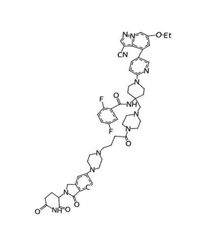 CCOc1cc(-c2ccc(N3CCC(CN4CCN(C(=O)CCCN5CCN(c6ccc7c(c6)CN(C6CCC(=O)NC6=O)C7=O)CC5)CC4)(NC(=O)c4cc(F)ccc4F)CC3)nc2)c2c(C#N)cnn2c1